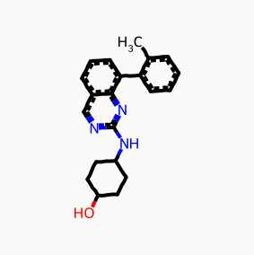 Cc1ccccc1-c1cccc2cnc(NC3CCC(O)CC3)nc12